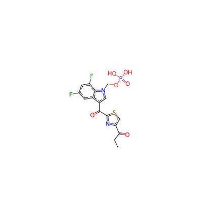 CCC(=O)c1csc(C(=O)c2cn(COP(=O)(O)O)c3c(F)cc(F)cc23)n1